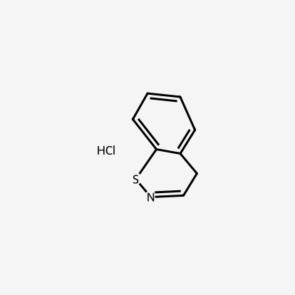 C1=NSc2ccccc2C1.Cl